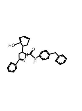 O=C(Nc1ccc(Cc2ccccc2)cc1)N1N=C(c2ccccc2)CC1C1CC=CC=C1O